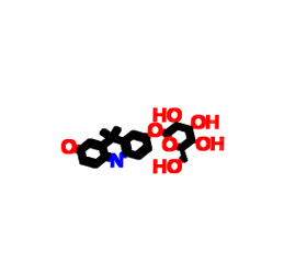 CC1(C)C2=CC(=O)C=CC2=Nc2ccc(OC3O[C@H](CO)[C@@H](O)[C@H](O)[C@H]3O)cc21